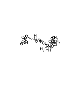 COc1cc(N2CCC(N3CCN(CC(=O)NCCCC#Cc4cccc5c4CN(C4CCC(=O)NC4=O)C5=O)CC3)CC2)ccc1Nc1ncc(Cl)c(Nc2ccccc2P(=O)(OC)OC)n1